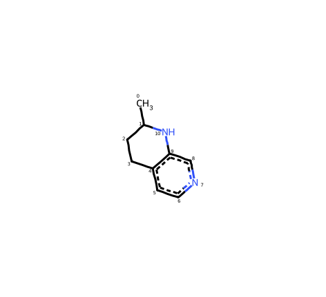 CC1CCc2ccncc2N1